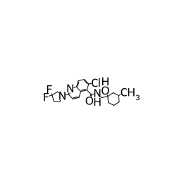 CC1CCCC(O)(CNC(=O)c2c(Cl)ccc3nc(N4CCC(F)(F)C4)ccc23)C1